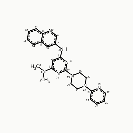 CN(C)c1cc(Nc2cnc3ccccc3c2)nc(N2CCN(c3ccccn3)CC2)n1